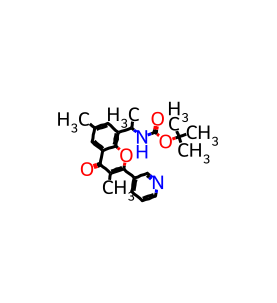 Cc1cc(C(C)NC(=O)OC(C)(C)C)c2oc(-c3cccnc3)c(C)c(=O)c2c1